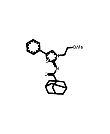 COCCn1cc(-c2ccccc2)s/c1=N\C(=O)C12CC3CC(CC(C3)C1)C2